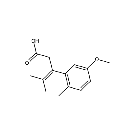 COc1ccc(C)c(C(CC(=O)O)=C(C)C)c1